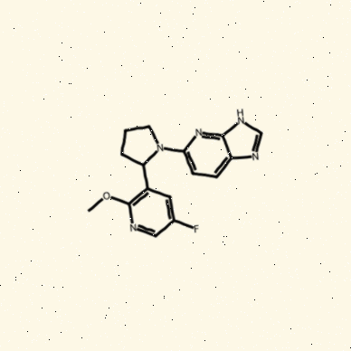 COc1ncc(F)cc1C1CCCN1c1ccc2nc[nH]c2n1